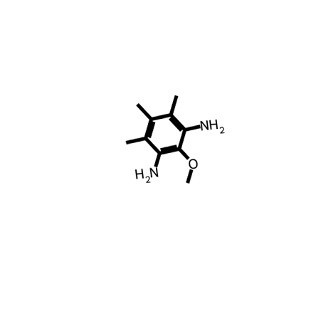 COc1c(N)c(C)c(C)c(C)c1N